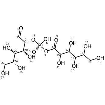 O=C[C@H](OP(=O)(O)OC(=O)C(O)C(O)C(O)C(O)CO)[C@@H](O)[C@H](O)[C@H](O)CO